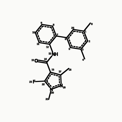 Cc1cc(C)cc(-c2ccccc2NC(=O)c2c(C)nn(C)c2F)c1